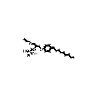 C=CCOCC(COc1ccc(CCCCCCCCC)cc1)OCP(=O)(O)O